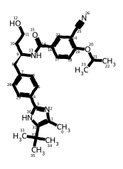 Cc1nc(-c2ccc(C[C@@H](CCO)NC(=O)c3ccc(OC(C)C)c(C#N)c3)cc2)[nH]c1C(C)(C)C